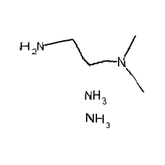 CN(C)CCN.N.N